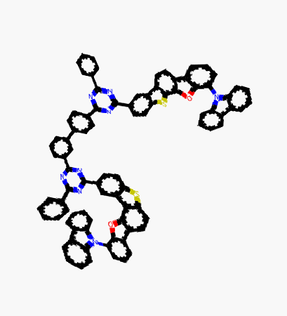 c1ccc(-c2nc(-c3ccc(-c4cccc(-c5nc(-c6ccccc6)nc(-c6ccc7sc8ccc9c%10cccc(-n%11c%12ccccc%12c%12ccccc%12%11)c%10oc9c8c7c6)n5)c4)cc3)nc(-c3ccc4sc5c(ccc6c7cccc(-n8c9ccccc9c9ccccc98)c7oc65)c4c3)n2)cc1